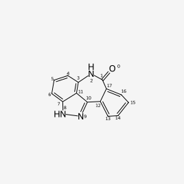 O=C1Nc2cccc3[nH]nc(c23)-c2ccccc21